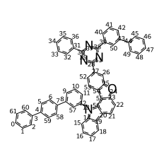 c1ccc(-c2ccc(-c3cccc(-n4c5ccccc5c5ccc6oc7cc(-c8nc(-c9ccccc9)nc(-c9cccc(-c%10ccccc%10)c9)n8)ccc7c6c54)c3)cc2)cc1